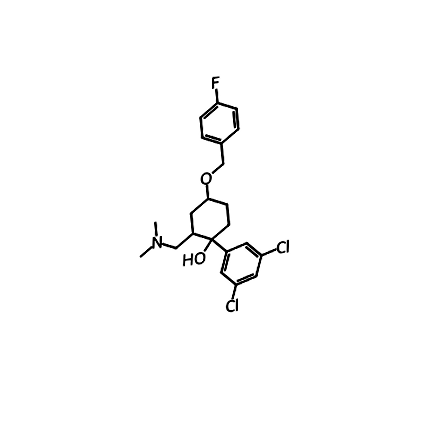 CN(C)CC1CC(OCc2ccc(F)cc2)CCC1(O)c1cc(Cl)cc(Cl)c1